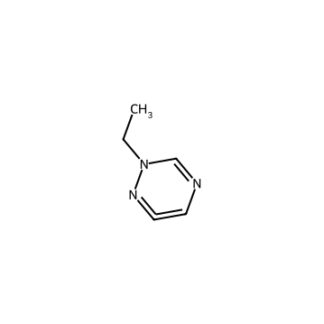 CCN1C=NC=C=N1